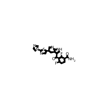 NC(=O)c1ccc(F)c(C(=O)c2c[nH]c3ncc(-c4cnc(-n5ccnc5)s4)cc23)c1F